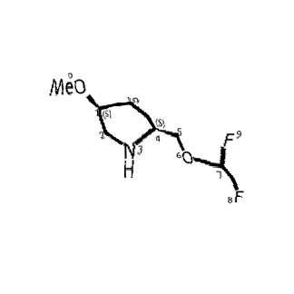 CO[C@@H]1CN[C@H](COC(F)F)C1